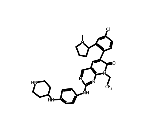 CN1CCCC1c1cc(Cl)ccc1-c1cc2cnc(Nc3ccc(NC4CCNCC4)cc3)nc2n(CC(F)(F)F)c1=O